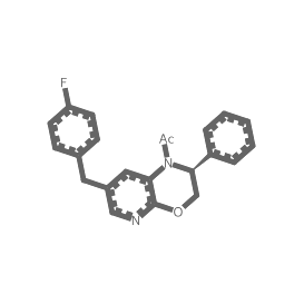 CC(=O)N1c2cc(Cc3ccc(F)cc3)cnc2OC[C@@H]1c1ccccc1